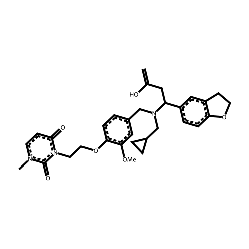 C=C(O)CC(c1ccc2c(c1)CCO2)N(Cc1ccc(OCCn2c(=O)ccn(C)c2=O)c(OC)c1)CC1CC1